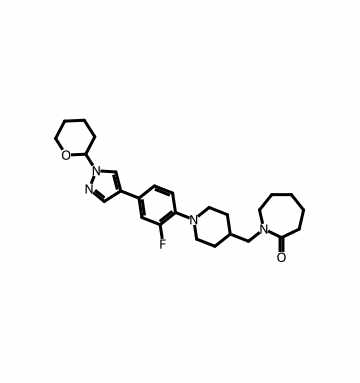 O=C1CCCCCN1CC1CCN(c2ccc(-c3cnn(C4CCCCO4)c3)cc2F)CC1